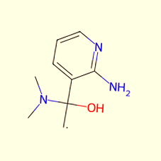 [CH2]C(O)(c1cccnc1N)N(C)C